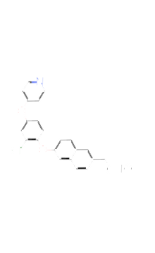 O=CCc1ccc2cc(Oc3ccc(Oc4ccncc4)cc3Cl)ccc2c1